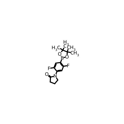 CC1(C)OB(c2cc(F)c(N3CCCC3=O)cc2F)OC1(C)C